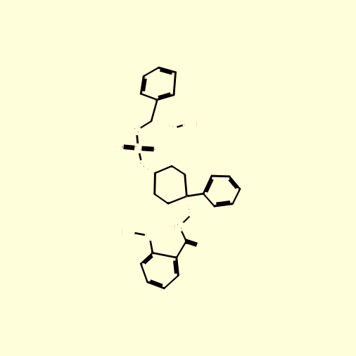 COc1ccccc1C(=O)NC[C@]1(c2ccccc2)CC[C@H](NS(=O)(=O)N[C@@H](CO)c2ccccc2)CC1